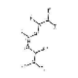 C[SiH](OC(F)C(F)F)OC(F)C(F)F